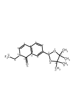 CC1(C)OB(c2ccc3ccn(CC(F)(F)F)c(=O)c3c2)OC1(C)C